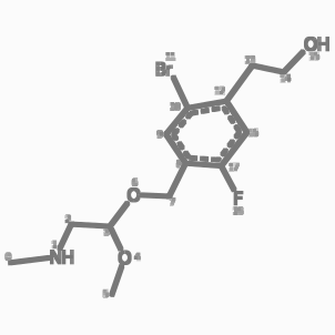 CNCC(OC)OCc1cc(Br)c(CCO)cc1F